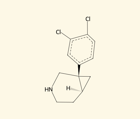 Clc1ccc([C@]23CNCC[C@@H]2C3)cc1Cl